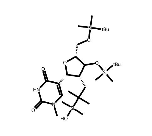 Cn1cc([C@@H]2O[C@H](CO[Si](C)(C)C(C)(C)C)C(O[Si](C)(C)C(C)(C)C)[C@@H]2CC(C)(C)[Si](C)(C)O)c(=O)[nH]c1=O